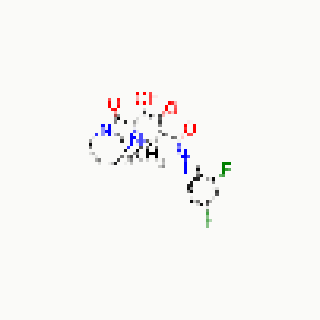 C[C@]12CC=CCN(C1)C(=O)c1c(O)c(=O)c(C(=O)NCc3ccc(F)cc3F)cn12